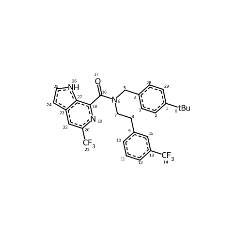 CC(C)(C)c1ccc(CN(CCc2cccc(C(F)(F)F)c2)C(=O)c2nc(C(F)(F)F)cc3cc[nH]c23)cc1